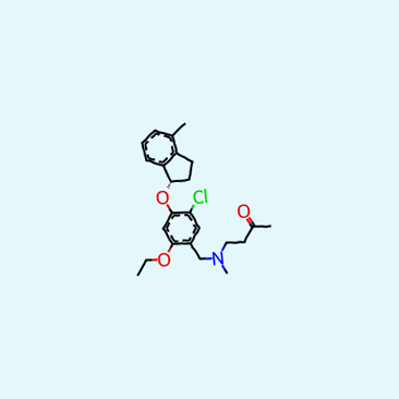 CCOc1cc(O[C@H]2CCc3c(C)cccc32)c(Cl)cc1CN(C)CCC(C)=O